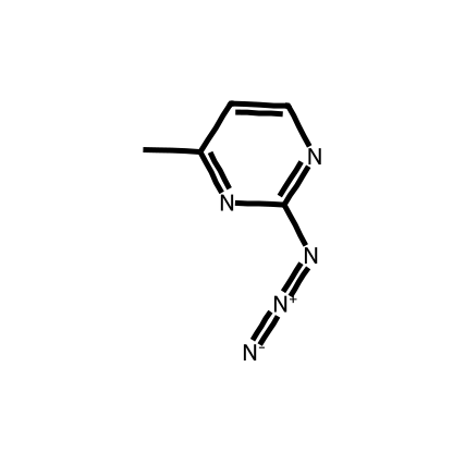 Cc1ccnc(N=[N+]=[N-])n1